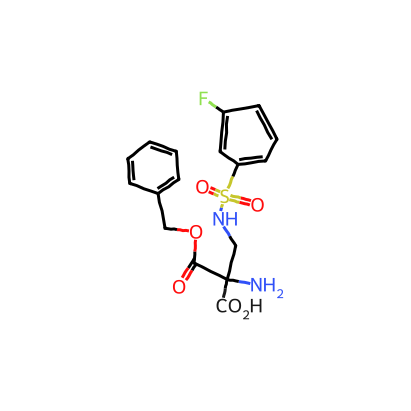 NC(CNS(=O)(=O)c1cccc(F)c1)(C(=O)O)C(=O)OCc1ccccc1